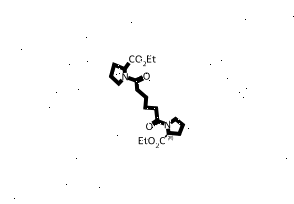 CCOC(=O)C1CCCN1C(=O)CCCCC(=O)N1CCC[C@@H]1C(=O)OCC